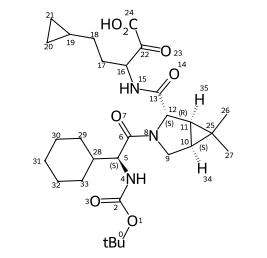 CC(C)(C)OC(=O)N[C@H](C(=O)N1C[C@H]2[C@@H]([C@H]1C(=O)NC(CCC1CC1)C(=O)C(=O)O)C2(C)C)C1CCCCC1